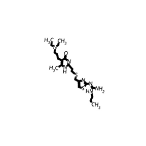 CCCNC(N)=Nc1nc(CSCCc2nc(=O)c(CCCN(CC)CC)c(C)[nH]2)cs1